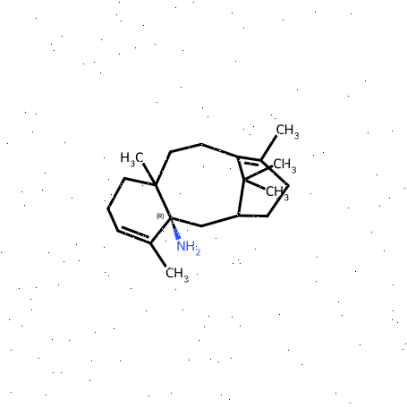 CC1=CCCC2(C)CCC3=C(C)CCC(C[C@]12N)C3(C)C